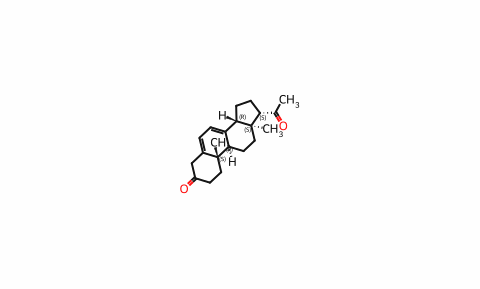 CC(=O)[C@H]1CC[C@H]2C3=CC=C4CC(=O)CC[C@@]4(C)[C@@H]3CC[C@]12C